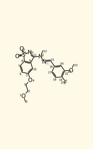 COCCOc1ccc2c(c1)C(N(C)/N=C/c1ccc(F)c(OC)c1)=NS2(=O)=O